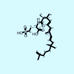 C=C(C)CCCC(C)(C)C/C=C/C(C)=C/C=C/C(C)[C@H](C)C(=O)N[C@@H](CCS(=O)(=O)O)C(=O)O